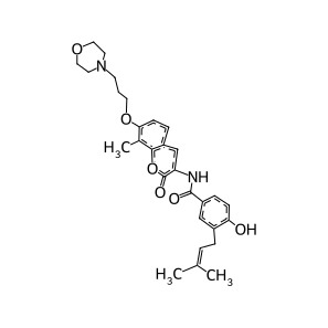 CC(C)=CCc1cc(C(=O)Nc2cc3ccc(OCCCN4CCOCC4)c(C)c3oc2=O)ccc1O